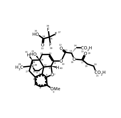 COc1ccc2c3c1O[C@H]1C(OC(=O)[C@H](CC(=O)O)OC(=O)CCC(=O)O)=CC[C@@]4(O)[C@@H](C2)N(C)CC[C@]314.O=C(O)C(F)(F)F